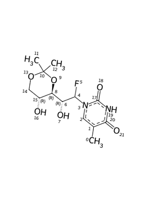 Cc1cn(C(F)[C@H](O)[C@@H]2OC(C)(C)OC[C@H]2O)c(=O)[nH]c1=O